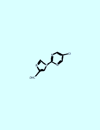 O=Cc1cn(-c2ncc(Cl)cn2)cn1